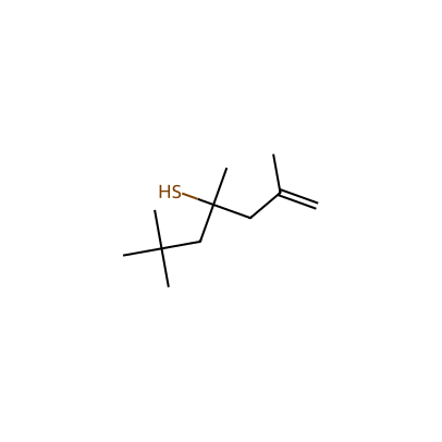 C=C(C)CC(C)(S)CC(C)(C)C